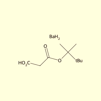 CC(C)(C)C(C)(C)OC(=O)CC(=O)O.[BaH2]